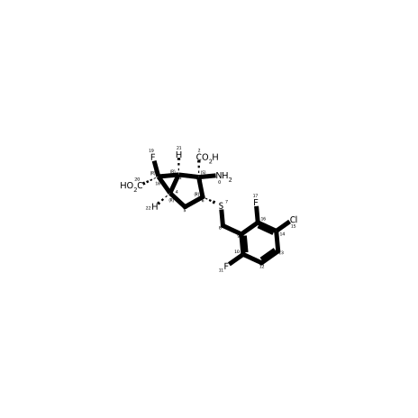 N[C@]1(C(=O)O)[C@H]2[C@@H](C[C@H]1SCc1c(F)ccc(Cl)c1F)[C@]2(F)C(=O)O